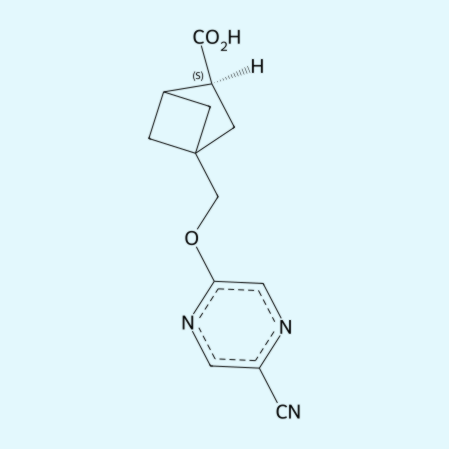 N#Cc1cnc(OCC23CC(C2)[C@@H](C(=O)O)C3)cn1